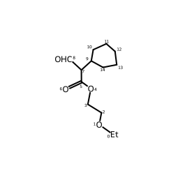 CCOCCOC(=O)C(C=O)C1CCCCC1